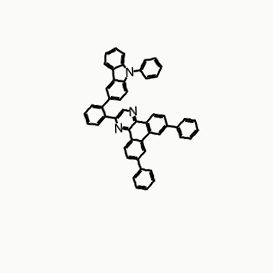 c1ccc(-c2ccc3c(c2)c2cc(-c4ccccc4)ccc2c2nc(-c4ccccc4-c4ccc5c(c4)c4ccccc4n5-c4ccccc4)cnc32)cc1